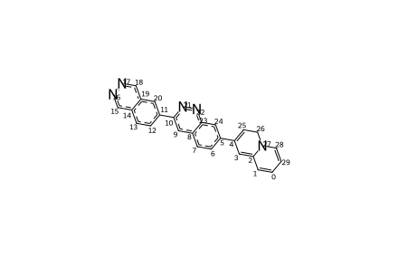 C1=CC2=CC(c3ccc4cc(-c5ccc6cnncc6c5)nnc4c3)=CCN2C=C1